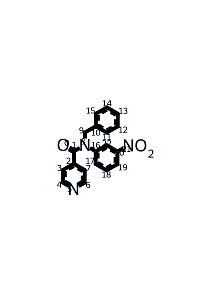 O=C(c1ccncc1)N(Cc1ccccc1)c1cccc([N+](=O)[O-])c1